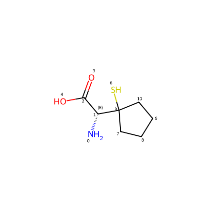 N[C@H](C(=O)O)C1(S)CCCC1